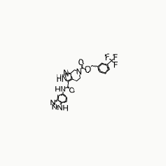 O=C(Nc1ccc2[nH]nnc2c1)c1[nH]nc2c1CCN(C(=O)OCc1cccc(C(F)(F)F)c1)C2